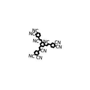 N#C/C(=C\c1cc(/C=C(\C#N)c2ccc(C#N)c(C#N)c2)cc(/C=C(\C#N)c2ccc(C#N)c(C#N)c2)c1)c1ccc(C#N)c(C#N)c1